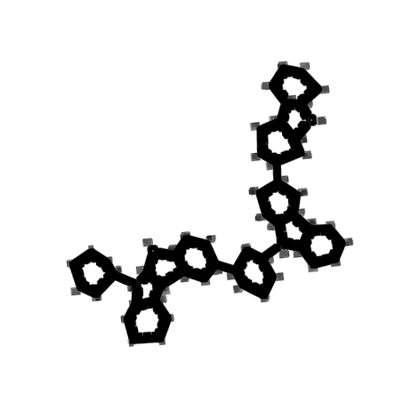 c1ccc(-n2c3ccccc3c3c4cc(-c5cccc(-n6c7ccccc7c7cc(-c8ccc9c(c8)oc8ccccc89)ccc76)c5)ccc4oc32)cc1